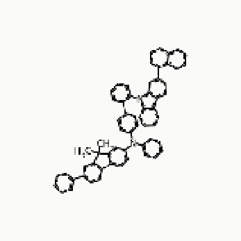 CC1(C)c2cc(-c3ccccc3)ccc2-c2ccc(N(c3ccccc3)c3ccc(-c4ccccc4-n4c5ccccc5c5ccc(-c6cccc7ccccc67)cc54)cc3)cc21